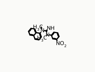 CN(C(=N)N(C)c1cccc2ccccc12)c1cccc([N+](=O)[O-])c1